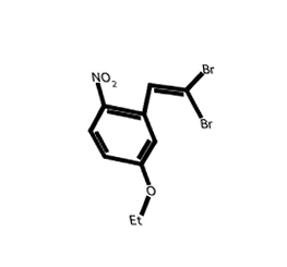 CCOc1ccc([N+](=O)[O-])c(C=C(Br)Br)c1